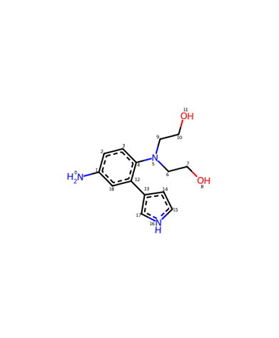 Nc1ccc(N(CCO)CCO)c(-c2cc[nH]c2)c1